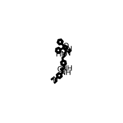 CCN(CC)c1ccc(NC(=O)Nc2ccc(CCNc3ncnc4oc(-c5ccccc5)c(-c5ccccc5)c34)cc2)cc1